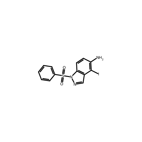 Nc1ccc2c(cnn2S(=O)(=O)c2ccccc2)c1I